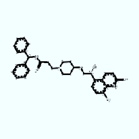 O=C(CCN1CCC(NC[C@H](O)c2ccc(O)c3[nH]c(=O)ccc23)CC1)NC(c1ccccc1)c1ccccc1